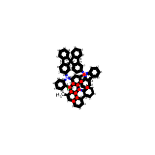 Cc1cccc(N(C2=CCCC=C2c2ccccc2)c2cc(C)cc(N(c3ccc4c(c3)C3(c5ccccc5-c5cc(-n6c7ccccc7c7ccccc76)ccc53)c3ccccc3-4)c3ccccc3-c3ccccc3)c2Br)c1